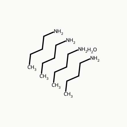 CCCCN.CCCCN.CCCCN.CCCCN.O